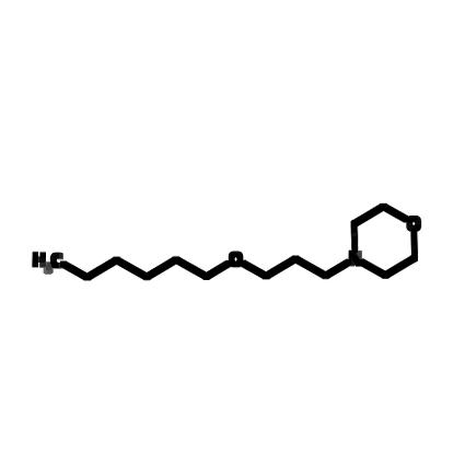 CCCCCCOCCCN1CCOCC1